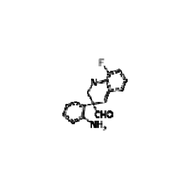 Nc1ccccc1C1(C=O)C=c2cccc(F)c2=NC1